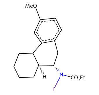 CCOC(=O)N(I)[C@H]1Cc2ccc(OC)cc2C2CCCC[C@@H]21